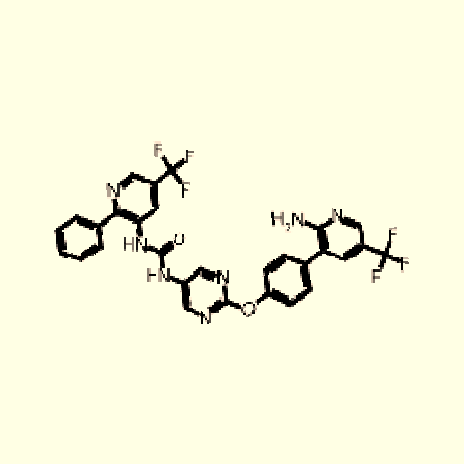 Nc1ncc(C(F)(F)F)cc1-c1ccc(Oc2ncc(NC(=O)Nc3cc(C(F)(F)F)cnc3-c3ccccc3)cn2)cc1